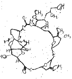 C=C1CC2CCC(=O)C[C@@H]3O[C@H]4[C@@H](O)[C@H]5OC(CC[C@@H]5O[C@H]4[C@H]3O)CC(=O)C[C@@H]3[C@@H](OC)[C@@H](C[C@H](O)CO)O[C@H]3CC3OC(CCC1O2)C[C@@H](C)C3=C